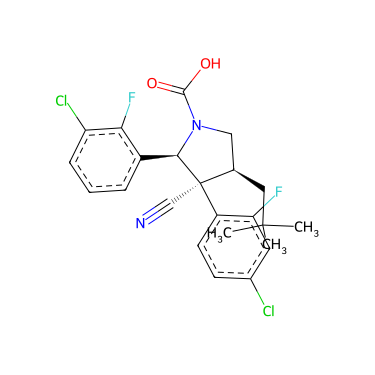 CC(C)(C)C[C@@H]1CN(C(=O)O)[C@H](c2cccc(Cl)c2F)[C@]1(C#N)c1ccc(Cl)cc1F